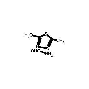 Cc1nnc(C)s1.NC=O